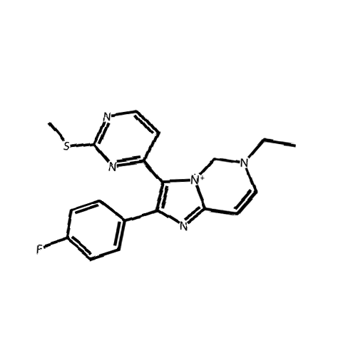 CCN1C=CC2=NC(c3ccc(F)cc3)=C(c3ccnc(SC)n3)[N+]2C1